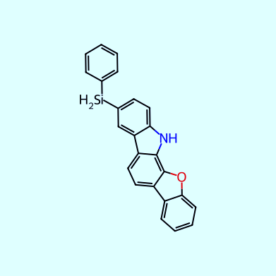 c1ccc([SiH2]c2ccc3[nH]c4c(ccc5c6ccccc6oc54)c3c2)cc1